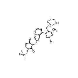 Cc1cc(Cl)cc(-c2ncnn3cc(Cn4c(=O)ccn(CC(F)(F)F)c4=O)cc23)c1C[C@@H]1CNCCO1